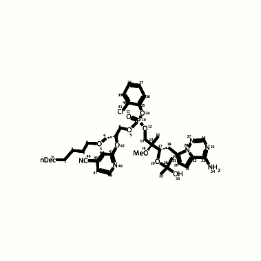 CCCCCCCCCCCCCCOC[C@H](COP(=O)(OC[C@@](C)(OC)[C@H](Cc1ccc2c(N)ncnn12)OC(C)(C)O)Oc1ccccc1Cl)Oc1cc(C#N)ccn1